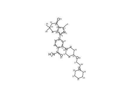 Cc1nn(-c2ccc(C(N)=O)c(N3CCC(OCCN4CCCCC4)CC3)c2)c2c1C(=O)CC(C)(C)C2